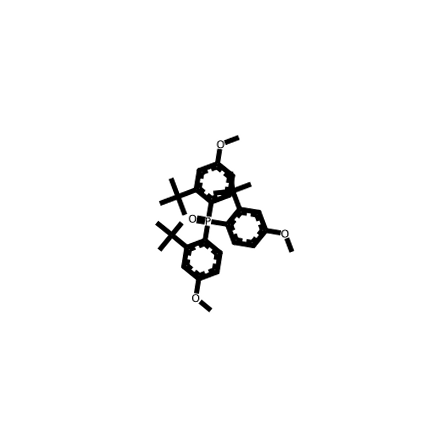 COc1ccc(P(=O)(c2ccc(OC)cc2C(C)(C)C)c2ccc(OC)cc2C(C)(C)C)c(C(C)(C)C)c1